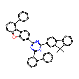 CC1(C)c2ccccc2-c2ccc(-c3nc(-c4ccc5c(c4)oc4cccc(-c6ccccc6)c45)nc(-c4ccccc4-c4ccccc4)n3)cc21